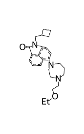 CCOCCN1CCCN(c2ccc3c4c(cccc24)C(=O)N3CC2CCC2)CC1